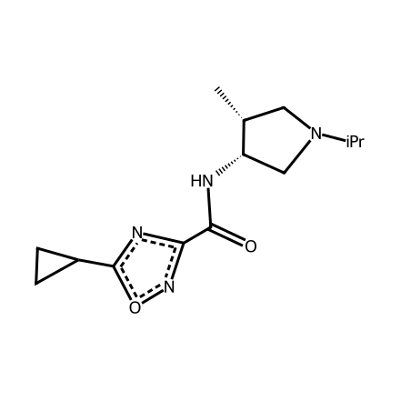 CC(C)N1C[C@@H](C)[C@@H](NC(=O)c2noc(C3CC3)n2)C1